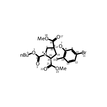 CCCCOC(=O)N1C[C@@](Oc2cc(Br)ccc2I)(C(=O)OC)C[C@H]1C(=O)OC